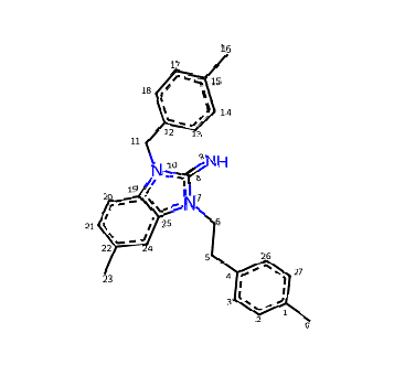 Cc1ccc(CCn2c(=N)n(Cc3ccc(C)cc3)c3ccc(C)cc32)cc1